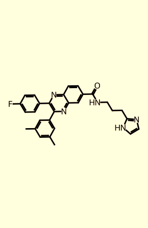 Cc1cc(C)cc(-c2nc3cc(C(=O)NCCCc4ncc[nH]4)ccc3nc2-c2ccc(F)cc2)c1